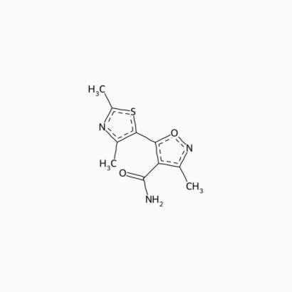 Cc1nc(C)c(-c2onc(C)c2C(N)=O)s1